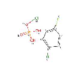 Fc1ccc(Cl)cc1.O=P(O)(O)OCl